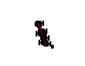 CCCNC(=O)COCCOCCNC(=O)COCCOCCNC(=O)CC[C@H](NC(=O)CCCCCCCCCCOc1ccc(C(=O)O)cc1)C(=O)O